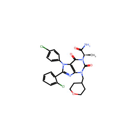 C[C@H](C(N)=O)n1c(=O)c2c(nc(-c3ccccc3Cl)n2-c2ccc(Cl)cc2)n(CC2CCOCC2)c1=O